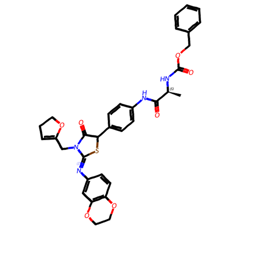 C[C@H](NC(=O)OCc1ccccc1)C(=O)Nc1ccc(C2S/C(=N\c3ccc4c(c3)OCCO4)N(CC3=CCCO3)C2=O)cc1